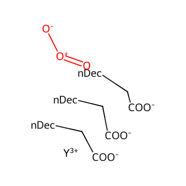 CCCCCCCCCCCC(=O)[O-].CCCCCCCCCCCC(=O)[O-].CCCCCCCCCCCC(=O)[O-].O=[O+][O-].[Y+3]